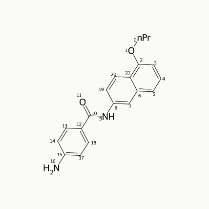 CCCOc1cccc2cc(NC(=O)c3ccc(N)cc3)ccc12